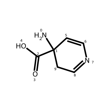 NC1(C(=O)O)C=CN=CC1